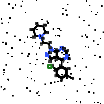 Cc1ccc(Cl)c(-c2ncnc3c2cnn3CCN2CCCCC2)c1